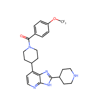 O=C(c1ccc(OC(F)(F)F)cc1)N1CCC(c2ccnc3[nH]c(C4CCNCC4)nc23)CC1